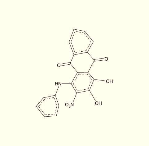 O=C1c2ccccc2C(=O)c2c(Nc3ccccc3)c([N+](=O)[O-])c(O)c(O)c21